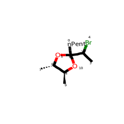 CCCCCC1(C(C)Br)O[C@@H](C)[C@H](C)O1